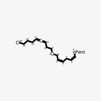 CCCCC/C=C\C/C=C\COCCC=C=CCCCCl